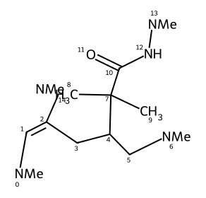 CN/C=C(\CC(CNC)C(C)(C)C(=O)NNC)NC